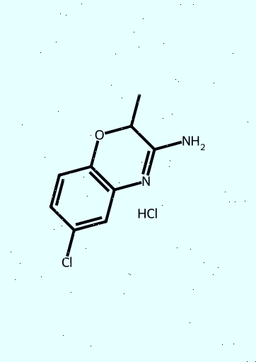 CC1Oc2ccc(Cl)cc2N=C1N.Cl